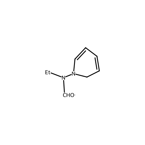 CCN([C]=O)N1C=CC=CC1